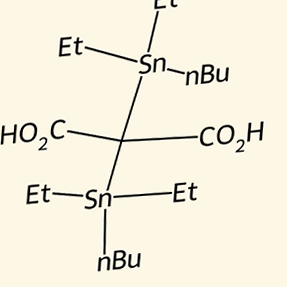 CCC[CH2][Sn]([CH2]C)([CH2]C)[C](C(=O)O)(C(=O)O)[Sn]([CH2]C)([CH2]C)[CH2]CCC